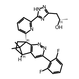 C[C@H](O)Cc1n[nH]c(-c2cccc([C@]34CC[C@@H](c5cc(-c6c(F)cccc6F)nnc53)C4(C)C)n2)n1